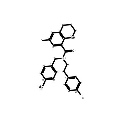 Cc1cc2c(c(C(=O)N(CCc3ccc(F)cc3)Cc3ccc(C(C)(C)C)cc3)c1)NCCC2